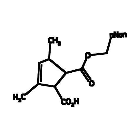 CCCCCCCCCCOC(=O)C1C(C)C=C(C)C1C(=O)O